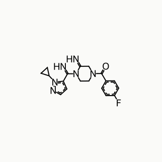 N=C1CN(C(=O)c2ccc(F)cc2)CCN1C(=N)c1ccnn1C1CC1